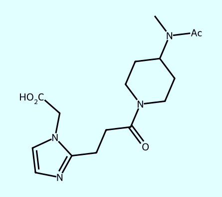 CC(=O)N(C)C1CCN(C(=O)CCc2nccn2CC(=O)O)CC1